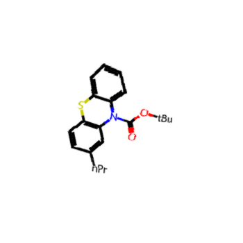 CCCc1ccc2c(c1)N(C(=O)OC(C)(C)C)c1ccccc1S2